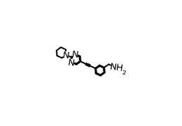 NCc1cccc(C#Cc2cnc(N3CCCCC3)nc2)c1